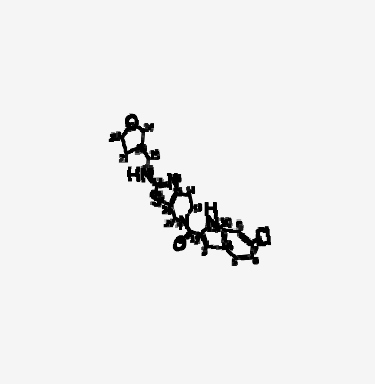 O=C(c1cc2ccc(Cl)cc2[nH]1)N1CCc2nc(NCC3CCOC3)sc2C1